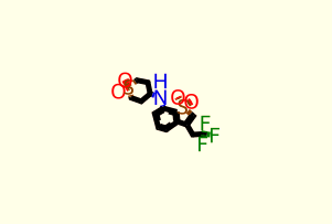 O=S1(=O)CCC(Nc2cccc3c2S(=O)(=O)C=C3CC(F)(F)F)CC1